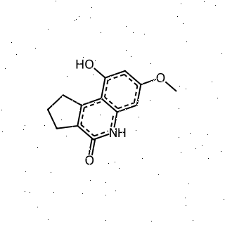 COc1cc(O)c2c3c(c(=O)[nH]c2c1)CCC3